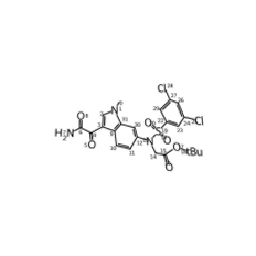 Cn1cc(C(=O)C(N)=O)c2ccc(N(CC(=O)OC(C)(C)C)S(=O)(=O)c3cc(Cl)cc(Cl)c3)cc21